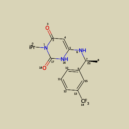 CC(C)n1c(=O)cc(N[C@@H](C)c2cccc(C(F)(F)F)c2)[nH]c1=O